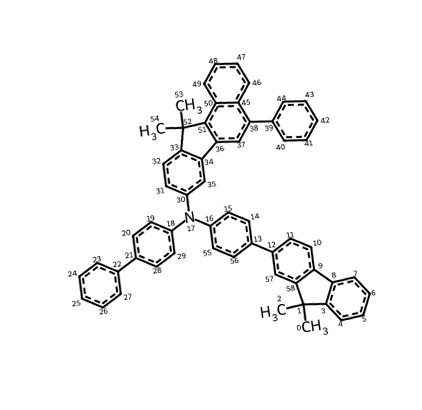 CC1(C)c2ccccc2-c2ccc(-c3ccc(N(c4ccc(-c5ccccc5)cc4)c4ccc5c(c4)-c4cc(-c6ccccc6)c6ccccc6c4C5(C)C)cc3)cc21